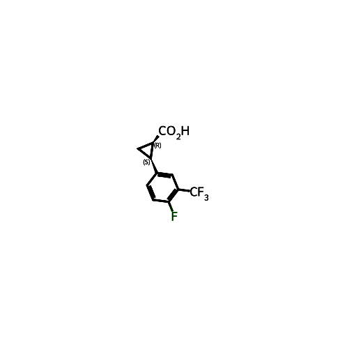 O=C(O)[C@@H]1C[C@@H]1c1ccc(F)c(C(F)(F)F)c1